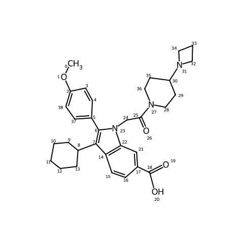 COc1ccc(-c2c(C3CCCCC3)c3ccc(C(=O)O)cc3n2CC(=O)N2CCC(N3CCC3)CC2)cc1